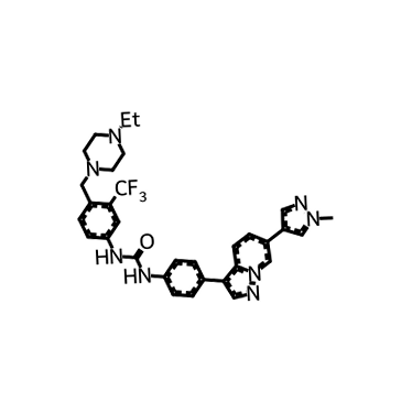 CCN1CCN(Cc2ccc(NC(=O)Nc3ccc(-c4cnn5cc(-c6cnn(C)c6)ccc45)cc3)cc2C(F)(F)F)CC1